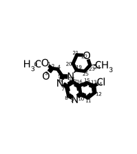 COC(=O)Cc1nc2cnc3ccc(Cl)cc3c2n1[C@@H]1CCO[C@H](C)C1